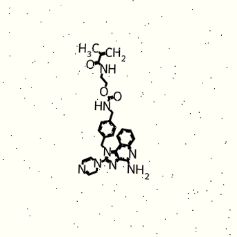 C=C(C)C(=O)NCCOC(=O)NCc1ccc(Cn2c(N3C=CN=CC3)nc3c(N)nc4ccccc4c32)cc1